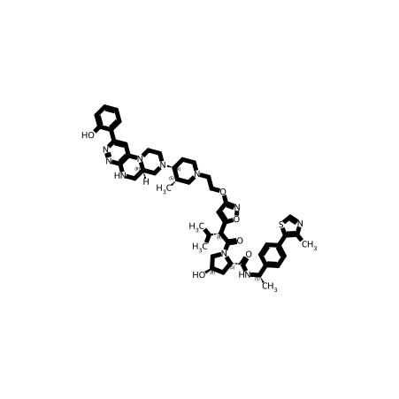 Cc1ncsc1-c1ccc([C@H](C)NC(=O)[C@@H]2C[C@@H](O)CN2C(=O)[C@@H](c2cc(OCCN3CC[C@@H](N4CCN5c6cc(-c7ccccc7O)nnc6NC[C@@H]5C4)[C@@H](C)C3)no2)C(C)C)cc1